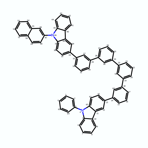 c1ccc(-n2c3ccccc3c3cc(-c4cccc(-c5cccc(-c6cccc(-c7cccc(-c8ccc9c(c8)c8ccccc8n9-c8ccc9ccccc9c8)c7)c6)c5)c4)ccc32)cc1